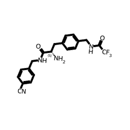 N#Cc1ccc(CNC(=O)[C@@H](N)Cc2ccc(CNC(=O)C(F)(F)F)cc2)cc1